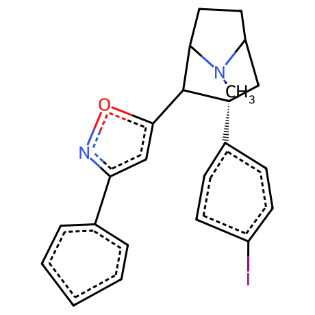 CN1C2CCC1C(c1cc(-c3ccccc3)no1)[C@@H](c1ccc(I)cc1)C2